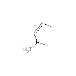 BN(C)/C=C\C